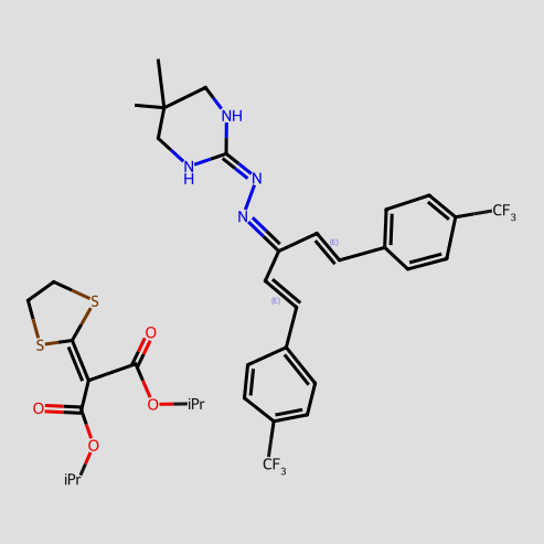 CC(C)OC(=O)C(C(=O)OC(C)C)=C1SCCS1.CC1(C)CNC(=NN=C(/C=C/c2ccc(C(F)(F)F)cc2)/C=C/c2ccc(C(F)(F)F)cc2)NC1